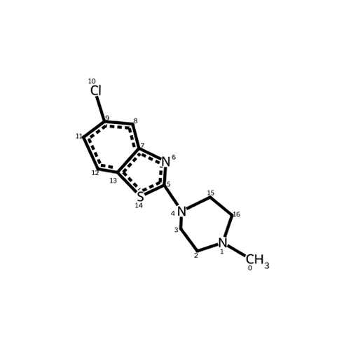 CN1CCN(c2nc3cc(Cl)ccc3s2)CC1